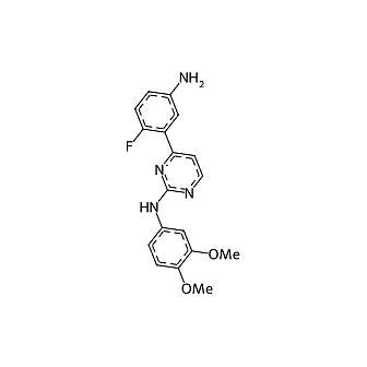 COc1ccc(Nc2nccc(-c3cc(N)ccc3F)n2)cc1OC